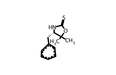 CC1(C)OC(=S)N[C@H]1Cc1ccccc1